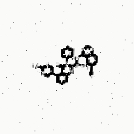 Cc1ncc(-c2cccc3nc([C@H](C)Nc4ncnc5ccc(C#N)cc45)n(-c4ccccc4)c(=O)c23)cn1